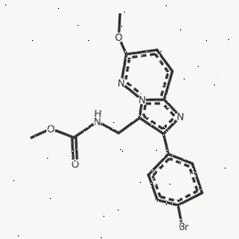 COC(=O)NCc1c(-c2ccc(Br)cc2)nc2ccc(OC)nn12